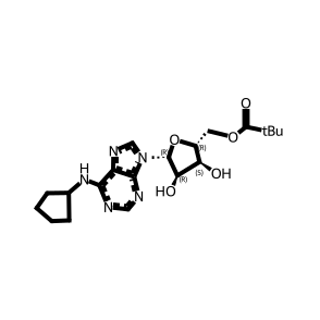 CC(C)(C)C(=O)OC[C@H]1O[C@@H](n2cnc3c(NC4CCCC4)ncnc32)[C@H](O)[C@@H]1O